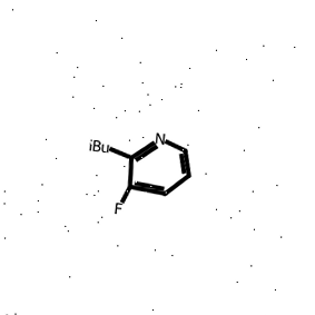 CCC(C)c1ncccc1F